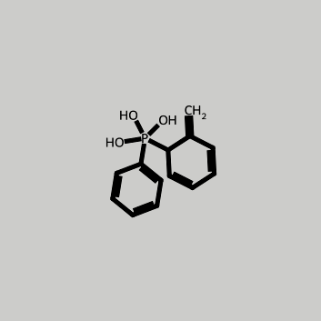 C=C1C=CC=CC1P(O)(O)(O)c1ccccc1